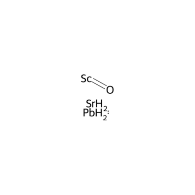 [O]=[Sc].[PbH2].[SrH2]